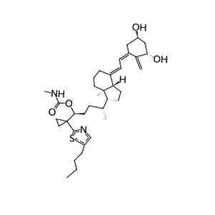 C=C1/C(=C\C=C2/CCC[C@]3(C)[C@@H]([C@H](C)CC[C@H](OC(=O)NC)C4(c5ncc(CCCC)s5)CC4)CC[C@@H]23)C[C@@H](O)C[C@@H]1O